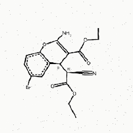 CCOC(=O)C1=C(N)Oc2ccc(Br)cc2[C@@H]1[C@@H](C#N)C(=O)OCC